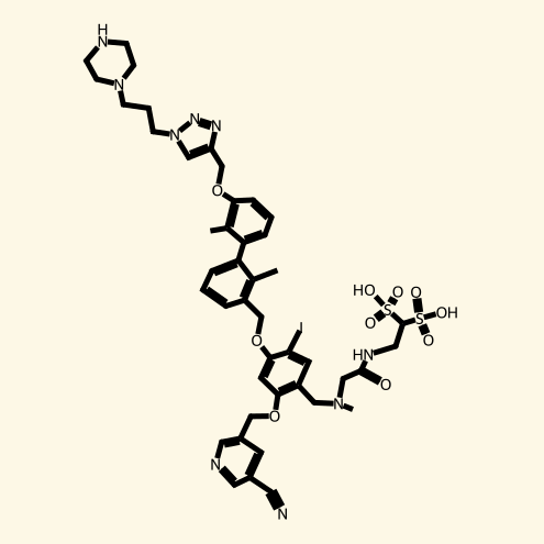 Cc1c(COc2cc(OCc3cncc(C#N)c3)c(CN(C)CC(=O)NCC(S(=O)(=O)O)S(=O)(=O)O)cc2I)cccc1-c1cccc(OCc2cn(CCCN3CCNCC3)nn2)c1C